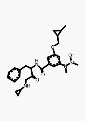 CC1CC1COc1cc(C(=O)NC(Cc2ccccc2)C(=O)CNC2CC2)cc(N(C)[S+](C)[O-])c1